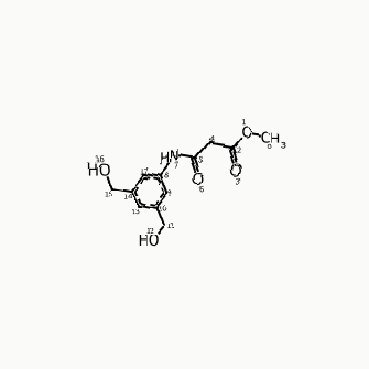 COC(=O)CC(=O)Nc1cc(CO)cc(CO)c1